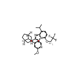 COc1cc(N2C[C@H]3CC[C@@H](C2)C3Nc2nc3c(C(C)C)ccc(O[C@@H](C)C(F)(F)F)n3n2)ccn1